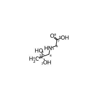 C=P(O)(O)CNCC(=O)O